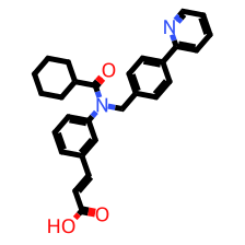 O=C(O)C=Cc1cccc(N(Cc2ccc(-c3ccccn3)cc2)C(=O)C2CCCCC2)c1